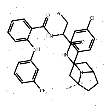 CC(C)CC(NC(=O)c1ccccc1Nc1cccc(C(F)(F)F)c1)C(=O)NC1CC2CC[C@@H](C1)N2Cc1ccc(Cl)cc1